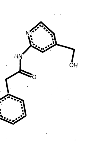 O=C(Cc1ccccc1)Nc1cc(CO)ccn1